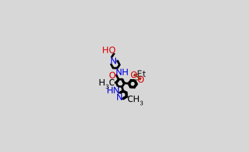 CCS(=O)(=O)c1cccc(C2=CC(C(=O)NC3CCN(CCO)CC3)=C(C)C3Nc4ncc(C)cc4C23)c1